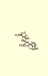 Cc1c[nH]c2ncnc(N3C=C(C(=O)N[C@H]4CCC[C@H](N)C4)SCC3)c12.Cl